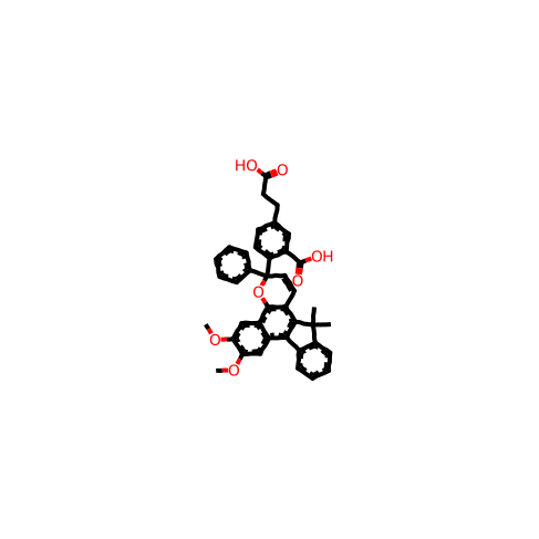 COc1cc2c3c(c4c(c2cc1OC)-c1ccccc1C4(C)C)C=CC(c1ccccc1)(c1ccc(CCC(=O)O)cc1C(=O)O)O3